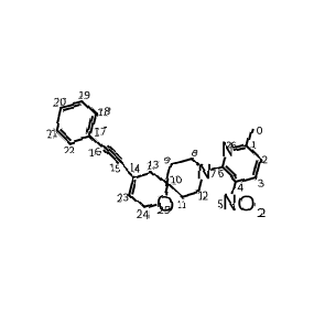 Cc1ccc([N+](=O)[O-])c(N2CCC3(CC2)CC(C#Cc2ccccc2)=CCO3)n1